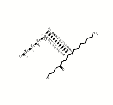 C=C.C=C.C=C.C=C.C=C.C=C.C=C.C=C.C=C.C=C.C=C.C=C.C=C.C=C.CCCCCCCCCCCC(=O)OCCO